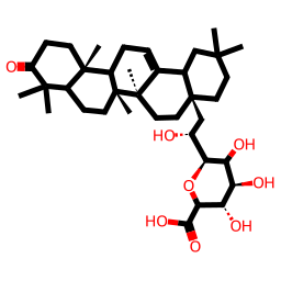 CC1(C)CC[C@]2(C[C@@H](O)[C@@H]3OC(C(=O)O)[C@@H](O)[C@H](O)C3O)CC[C@]3(C)C(=CCC4[C@@]5(C)CCC(=O)C(C)(C)C5CC[C@]43C)C2C1